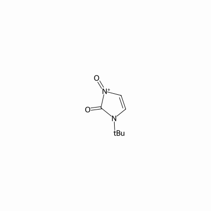 CC(C)(C)N1C=C[N+](=O)C1=O